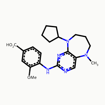 COc1cc(C(=O)O)ccc1Nc1ncc2c(n1)N(C1CCCC1)CCCN2C